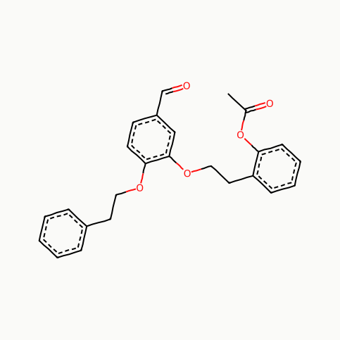 CC(=O)Oc1ccccc1CCOc1cc(C=O)ccc1OCCc1ccccc1